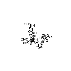 CNC(=O)C(NC=O)SCc1ccccc1CSC(NC(=O)NC(=O)NC(=O)NC(=O)NC=O)C(=O)NC(C=O)CC(C)C